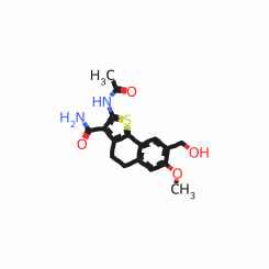 COc1cc2c(cc1CO)-c1sc(NC(C)=O)c(C(N)=O)c1CC2